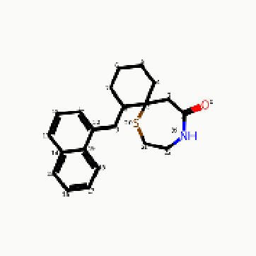 O=C1CC2(CCCCC2Cc2cccc3ccccc23)SCCN1